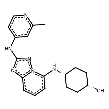 Cc1cc(Nc2nc3cccc(N[C@H]4CC[C@@H](O)CC4)n3n2)ccn1